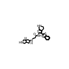 O=C(CCNC1CC2CNC[C@H]2C1)Nc1sc2c(c1-c1nc3ccccc3s1)CCNC2